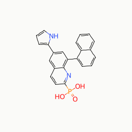 O=P(O)(O)c1ccc2cc(-c3ccc[nH]3)cc(-c3cccc4ccccc34)c2n1